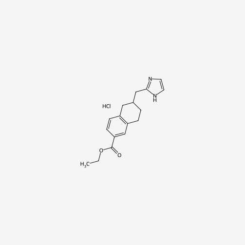 CCOC(=O)c1ccc2c(c1)CCC(Cc1ncc[nH]1)C2.Cl